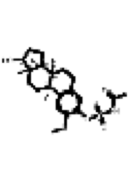 COc1cc2c(cc1OS(=O)(=O)NC(C)=O)CC[C@@H]1[C@@H]2CC[C@]2(C)[C@@H](O)CC[C@@H]12